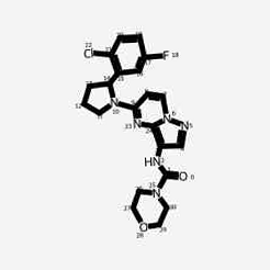 O=C(Nc1cnn2ccc(N3CCCC3c3cc(F)ccc3Cl)nc12)N1CCOCC1